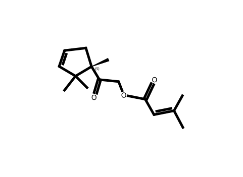 CC(C)=CC(=O)OCC(=O)[C@@]1(C)CC=CC1(C)C